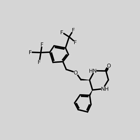 O=C1CN[C@@H](c2ccccc2)[C@@H](COCc2cc(C(F)(F)F)cc(C(F)(F)F)c2)N1